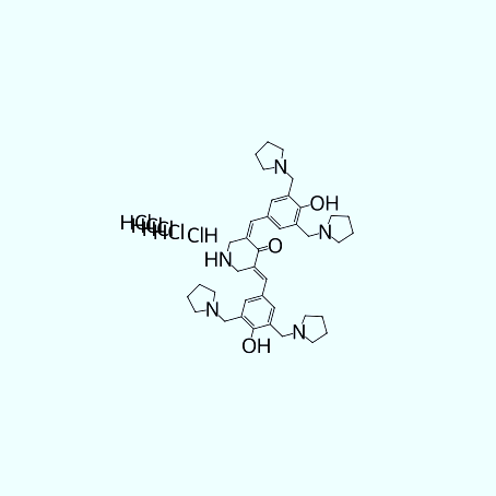 Cl.Cl.Cl.Cl.Cl.O=C1C(=Cc2cc(CN3CCCC3)c(O)c(CN3CCCC3)c2)CNCC1=Cc1cc(CN2CCCC2)c(O)c(CN2CCCC2)c1